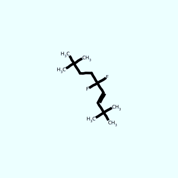 CC(C)(C)/C=C/C(F)(F)CCC(C)(C)C